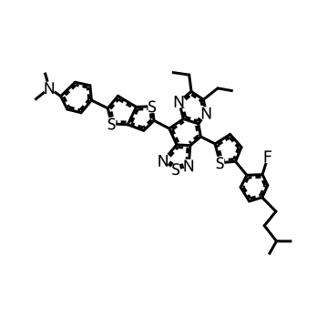 CCc1nc2c(-c3ccc(-c4ccc(CCC(C)C)cc4F)s3)c3nsnc3c(-c3cc4sc(-c5ccc(N(C)C)cc5)cc4s3)c2nc1CC